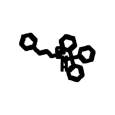 [O-][S+](C/C=C/c1ccccc1)NC(c1ccccc1)(c1ccccc1)c1ccccc1